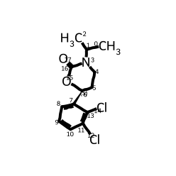 CC(C)N1CC[C@@H](c2cccc(Cl)c2Cl)OC1=O